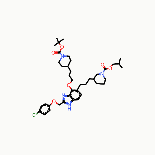 CC(C)COC(=O)N1CCCC(CCCc2ccc3[nH]c(COc4ccc(Cl)cc4)nc3c2OCCCC2CCN(C(=O)OC(C)(C)C)CC2)C1